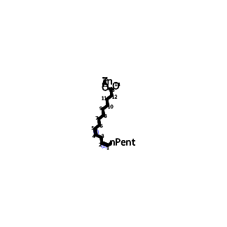 CCCCC/C=C\C/C=C\CCCCCCCC(=O)[O][Zn]